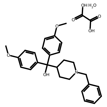 COc1ccc(C(O)(c2ccc(OC)cc2)C2CCN(Cc3ccccc3)CC2)cc1.O.O=C(O)C(=O)O